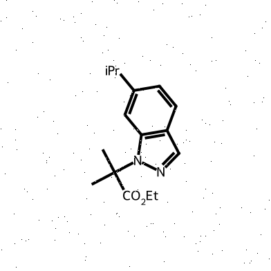 CCOC(=O)C(C)(C)n1ncc2ccc(C(C)C)cc21